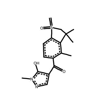 C=S1(=O)CC(C)(C)c2c1ccc(C(=O)c1cnn(C)c1O)c2C